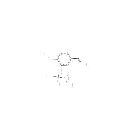 C=Cc1ccc(CO)cc1.C[SiH](C)C(C)(C)C